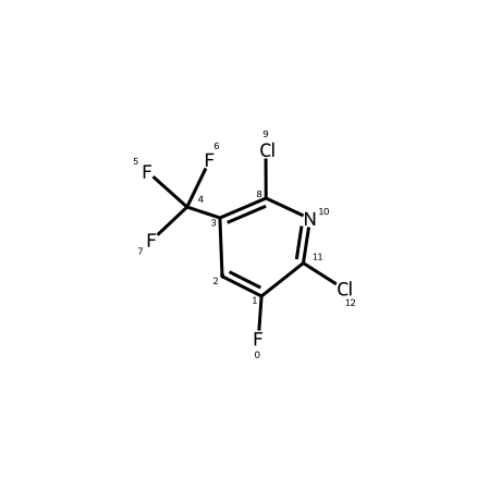 Fc1cc(C(F)(F)F)c(Cl)nc1Cl